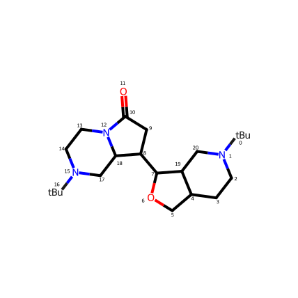 CC(C)(C)N1CCC2COC(C3CC(=O)N4CCN(C(C)(C)C)CC34)C2C1